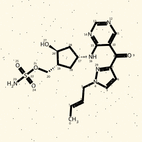 CC=CCn1ccc(C(=O)c2cncnc2N[C@@H]2C[C@H](COS(N)(=O)=O)[C@@H](O)C2)n1